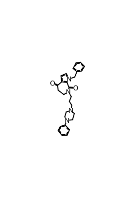 O=C1CCN(CCCN2CCN(c3ccccc3)CC2)C(=O)c2c1ccn2Cc1ccccc1